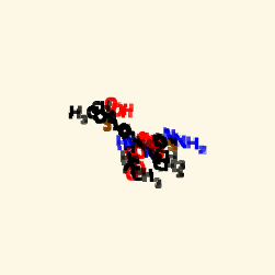 CC(C)CN(C[C@@H](O)[C@H](Cc1ccc(CCc2sc3c(c2C(=O)O)CC(C)(C)CC3)cc1)NC(=O)O[C@H]1CO[C@@]2(C)OCC[C@@H]12)S(=O)(=O)c1ccc2nc(N)sc2c1